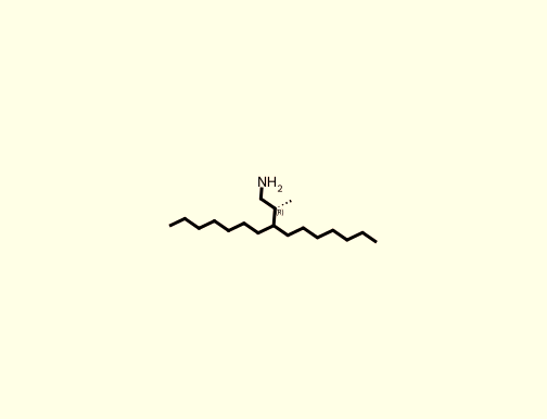 CCCCCCCC(CCCCCCC)[C@@H](C)CN